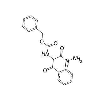 NNC(=O)C(NC(=O)OCc1ccccc1)C(=O)c1ccccc1